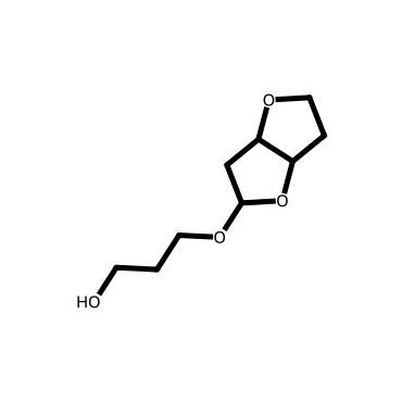 OCCCOC1CC2OCCC2O1